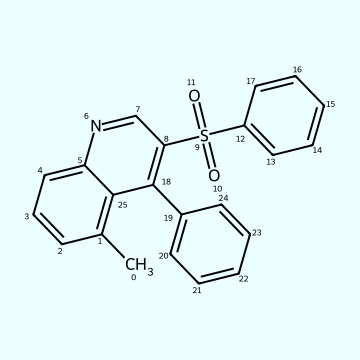 Cc1cccc2ncc(S(=O)(=O)c3ccccc3)c(-c3ccccc3)c12